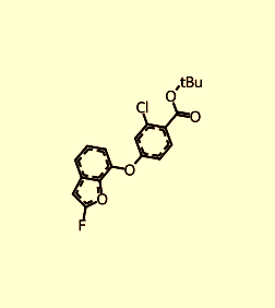 CC(C)(C)OC(=O)c1ccc(Oc2cccc3cc(F)oc23)cc1Cl